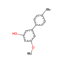 CC(C)(C)Oc1cc(O)cc(-c2ccc(C(C)(C)C)cc2)c1